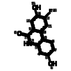 O=c1[nH]c2cc(O)ccc2c2cc(F)c(O)cc12